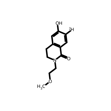 [2H]c1cc2c(cc1O)CCN(CCOC)C2=O